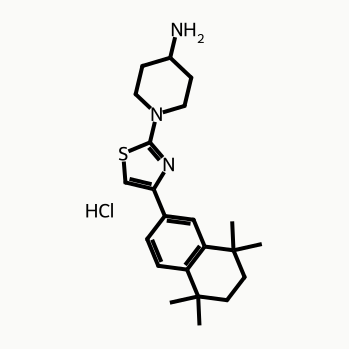 CC1(C)CCC(C)(C)c2cc(-c3csc(N4CCC(N)CC4)n3)ccc21.Cl